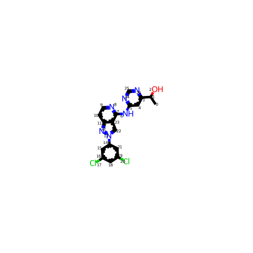 CC(O)c1cc(Nc2nccc3nn(-c4cc(Cl)cc(Cl)c4)cc23)ncn1